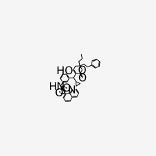 CCCC1(CCc2ccccc2)CC(O)=C(C(c2cccc(NS(=O)(=O)c3cccc4cccnc34)c2)C2CC2)C(=O)O1